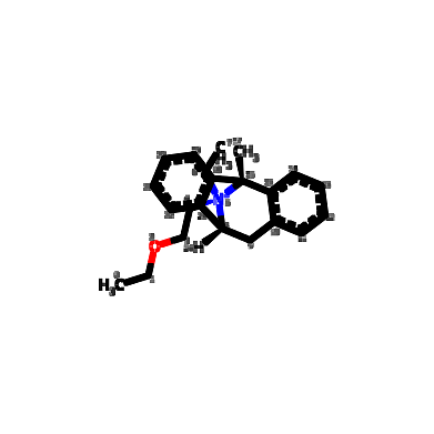 CCOCC[N@+]1(CC)[C@@H]2Cc3ccccc3[C@@]1(C)c1ccccc12